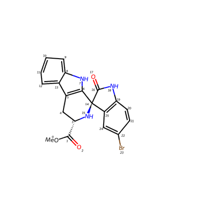 COC(=O)[C@@H]1Cc2c([nH]c3ccccc23)[C@]2(N1)C(=O)Nc1ccc(Br)cc12